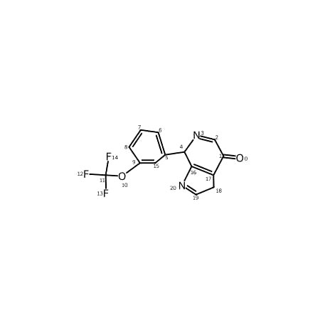 O=C1C=NC(c2cccc(OC(F)(F)F)c2)C2=C1CC=N2